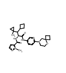 Cn1nccc1C(=O)N[C@H](C(=O)Nc1ccc(N2CCOC3(CCC3)C2)nc1)C(C1CCC1)C1(C)CC1